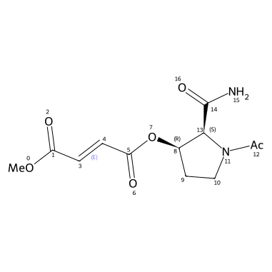 COC(=O)/C=C/C(=O)O[C@@H]1CCN(C(C)=O)[C@@H]1C(N)=O